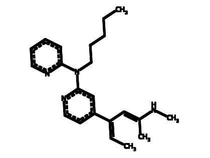 C/C=C(\C=C(/C)NC)c1ccnc(N(CCCCC)c2ccccn2)c1